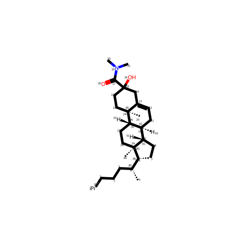 CC(C)CCC[C@@H](C)[C@H]1CC[C@H]2[C@@H]3CC=C4CC(O)(C(=O)N(C)C)CC[C@]4(C)[C@H]3CC[C@]12C